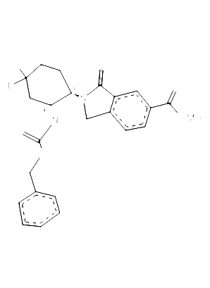 COC(=O)c1ccc2c(c1)C(=O)N([C@@H]1CCC(F)(F)C[C@H]1NC(=O)OCc1ccccc1)C2